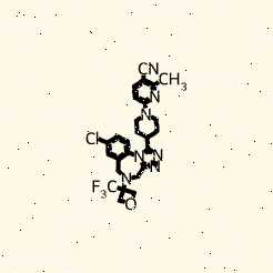 Cc1nc(N2CCC(c3nnc4n3-c3ccc(Cl)cc3CN(C3(C(F)(F)F)COC3)C4)CC2)ccc1C#N